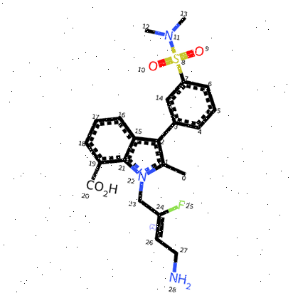 Cc1c(-c2cccc(S(=O)(=O)N(C)C)c2)c2cccc(C(=O)O)c2n1C/C(F)=C/CN